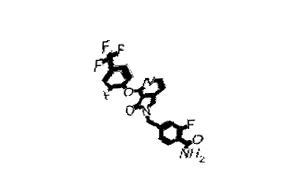 NC(=O)c1ccc(CN2Cc3ccnc(Oc4ccc(C(F)(F)F)cc4F)c3C2=O)cc1F